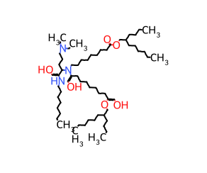 CCCCCCCCNC(=CO)C(CCCN(CC)CC)N(CCCCCCCCC(=O)OCC(CCCC)CCCCCC)C(=CO)CCCCCCCC(=CO)OCC(CCCC)CCCCCC